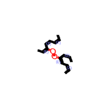 C\C=C/C=C\C(=C/C)OOC(/C=C\C)=C/C=C\C